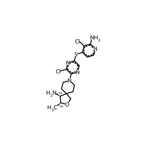 C[C@@H]1OCC2(CCN(c3ncc(Sc4ccnc(N)c4Cl)nc3Cl)CC2)[C@@H]1N